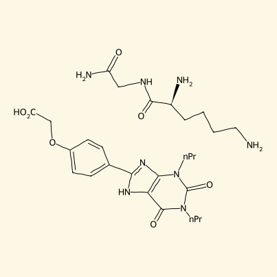 CCCn1c(=O)c2[nH]c(-c3ccc(OCC(=O)O)cc3)nc2n(CCC)c1=O.NCCCC[C@H](N)C(=O)NCC(N)=O